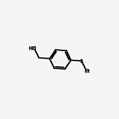 CCSc1ccc(CO)cc1